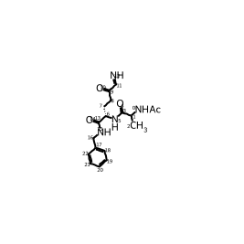 CC(=O)NC(C)C(=O)N[C@@H](CCC(=O)C=N)C(=O)NCc1ccccc1